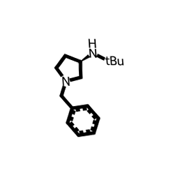 CC(C)(C)N[C@@H]1CCN(Cc2ccccc2)C1